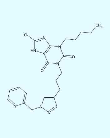 CCCCCn1c(=O)n(CCCc2cnn(Cc3ccccn3)c2)c(=O)c2[nH]c(Cl)nc21